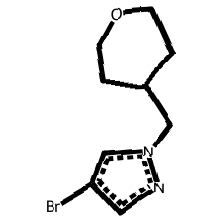 Brc1cnn(CC2CCOCC2)c1